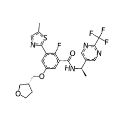 Cc1cnc(-c2cc(OC[C@@H]3CCOC3)cc(C(=O)N[C@H](C)c3cnc(C(F)(F)F)nc3)c2F)s1